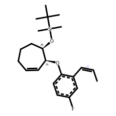 C/C=C\c1cc(F)ccc1O[C@H]1C=CCCC[C@H]1O[Si](C)(C)C(C)(C)C